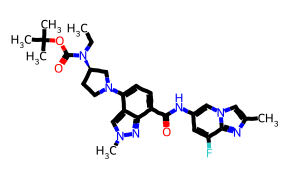 CCN(C(=O)OC(C)(C)C)[C@@H]1CCN(c2ccc(C(=O)Nc3cc(F)c4nc(C)cn4c3)c3nn(C)cc23)C1